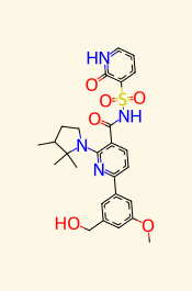 COc1cc(CO)cc(-c2ccc(C(=O)NS(=O)(=O)c3ccc[nH]c3=O)c(N3CCC(C)C3(C)C)n2)c1